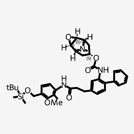 COc1cc(CO[Si](C)(C)C(C)(C)C)ccc1NC(=O)CCc1ccc(-c2ccccc2)c(NC(=O)O[C@@H]2C[C@@H]3[C@H]4O[C@H]4[C@H](C2)N3C)c1